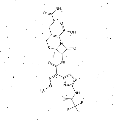 CO/N=C(/C(=O)NC1C(=O)N2C(C(=O)O)=C(COC(N)=O)CS[C@H]12)c1csc(NC(=O)C(F)(F)F)n1